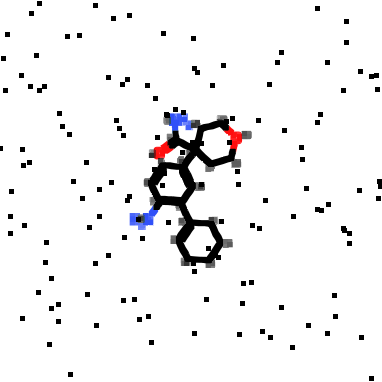 NC(=O)C1(c2ccc(N)c(C3=CCCCC3)c2)CCOCC1